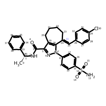 C[C@@H](NC(=O)c1nn(-c2ccc(S(N)(=O)=O)cc2)c2c1CCCC/C2=C\c1ccc(Cl)cc1)c1ccccc1